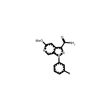 COc1cc2c(C(N)=O)nn(-c3cccc(I)c3)c2cn1